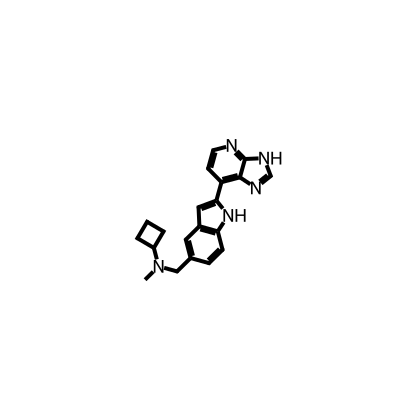 CN(Cc1ccc2[nH]c(-c3ccnc4[nH]cnc34)cc2c1)C1CCC1